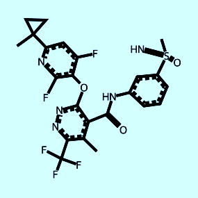 Cc1c(C(F)(F)F)nnc(Oc2c(F)cc(C3(C)CC3)nc2F)c1C(=O)Nc1cccc(S(C)(=N)=O)c1